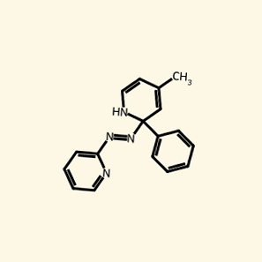 CC1=CC(N=Nc2ccccn2)(c2ccccc2)NC=C1